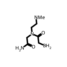 BCC(=O)N(CCNC)CC(N)=O